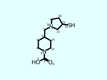 O=C(O)N1CCC(CN2CCC(S)C2)CC1